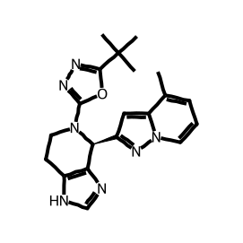 Cc1cccn2nc([C@H]3c4nc[nH]c4CCN3c3nnc(C(C)(C)C)o3)cc12